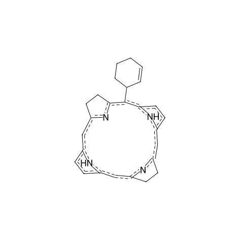 C1=CC(c2c3nc(cc4ccc(cc5nc(cc6ccc2[nH]6)CC5)[nH]4)CC3)CCC1